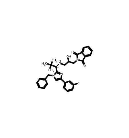 CC(C)(C)[C@@H](NCC(O)CN1C(=O)c2ccccc2C1=O)c1nc(-c2cccc(Cl)c2)cn1Cc1ccccc1